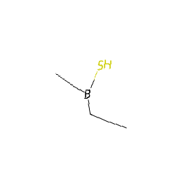 CCB(C)S